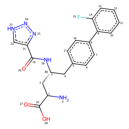 NC(C[C@@H](Cc1ccc(-c2ccccc2F)cc1)NC(=O)c1c[nH]nn1)C(=O)O